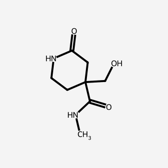 CNC(=O)C1(CO)CCNC(=O)C1